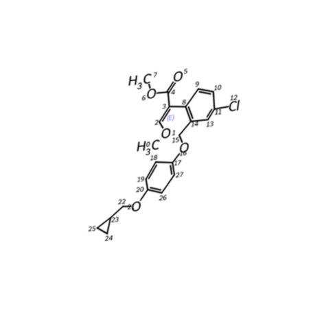 CO/C=C(/C(=O)OC)c1ccc(Cl)cc1COc1ccc(OCC2CC2)cc1